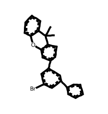 CC1(C)c2ccccc2Oc2cc(-c3cc(Br)cc(-c4ccccc4)c3)ccc21